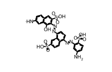 [NH]c1ccc2cc(S(=O)(=O)O)c(N=Nc3ccc(N=Nc4cc(N)ccc4S(=O)(=O)O)c4ccc(S(=O)(=O)O)cc34)c(O)c2c1